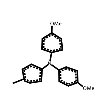 COc1ccc(N(c2ccc(C)cc2)c2ccc(OC)cc2)cc1